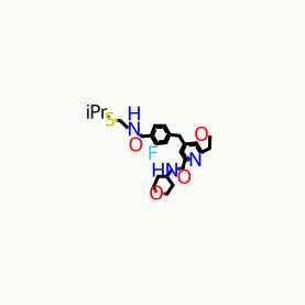 CC(C)SCCNC(=O)c1ccc(Cc2cc(C(=O)NC3CCOCC3)nc3c2OCC3)cc1F